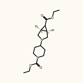 CCOC(=O)C1[C@H]2CN(C3CCN(C(=O)OCC)CC3)C[C@@H]12